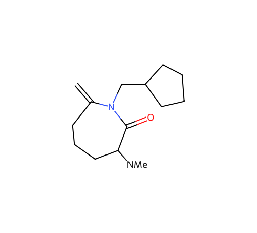 C=C1CCCC(NC)C(=O)N1CC1CCCC1